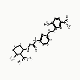 CC(C)C1C(C)CCCC1OCC(=O)Nc1cccc(OCc2cc([N+](=O)[O-])ccc2O)c1